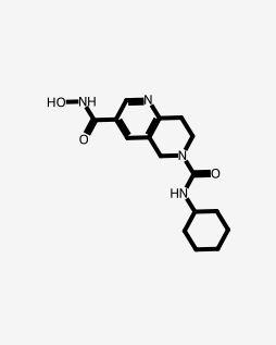 O=C(NO)c1cnc2c(c1)CN(C(=O)NC1CCCCC1)CC2